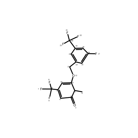 CC1C(=O)C=C(C(F)(F)F)C=C1OCc1cc(F)cc(C(F)(F)F)c1